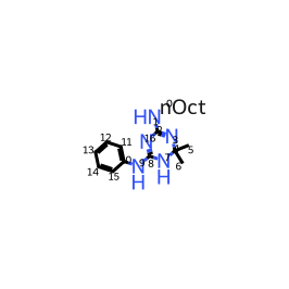 CCCCCCCCNC1=NC(C)(C)NC(Nc2ccccc2)=N1